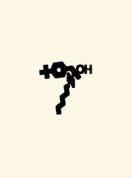 CCCCCCN=NC(C)(O)Cc1ccc(C(C)(C)C)cc1